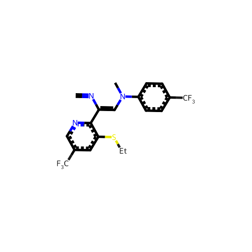 C=N/C(=C\N(C)c1ccc(C(F)(F)F)cc1)c1ncc(C(F)(F)F)cc1SCC